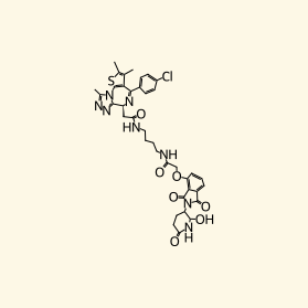 Cc1sc2c(c1C)C(c1ccc(Cl)cc1)=N[C@@H](CC(=O)NCCCCNC(=O)COc1cccc3c1C(=O)N(C1CCC(=O)NC1O)C3=O)c1nnc(C)n1-2